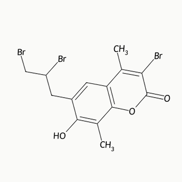 Cc1c(Br)c(=O)oc2c(C)c(O)c(CC(Br)CBr)cc12